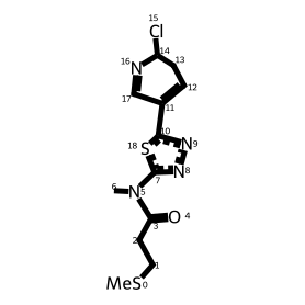 CSCCC(=O)N(C)c1nnc(C2=CCC(Cl)N=C2)s1